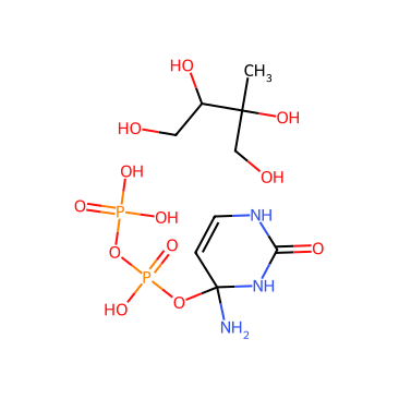 CC(O)(CO)C(O)CO.NC1(OP(=O)(O)OP(=O)(O)O)C=CNC(=O)N1